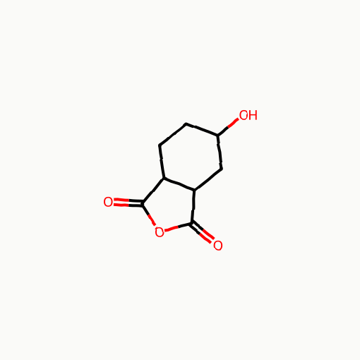 O=C1OC(=O)C2CC(O)CCC12